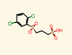 O=S(=O)(O)CCCS(=O)(=O)c1cc(Cl)ccc1Cl